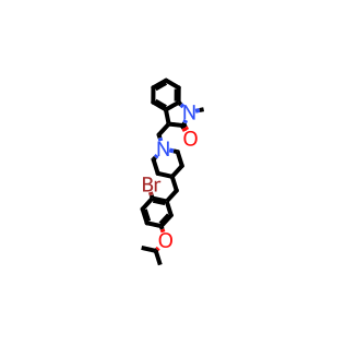 CC(C)Oc1ccc(Br)c(CC2CCN(CC3C(=O)N(C)c4ccccc43)CC2)c1